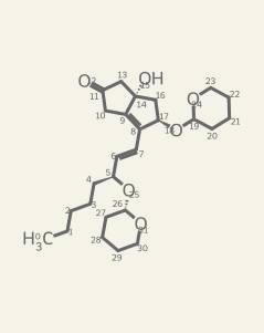 CCCCC[C@@H](C=CC1=C2CC(=O)C[C@@]2(O)C[C@H]1OC1CCCCO1)O[C@H]1CCCCO1